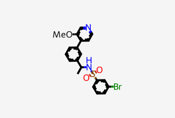 COc1cnccc1-c1cccc(C(C)NS(=O)(=O)c2cccc(Br)c2)c1